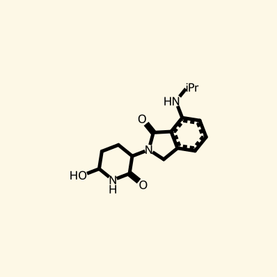 CC(C)Nc1cccc2c1C(=O)N(C1CCC(O)NC1=O)C2